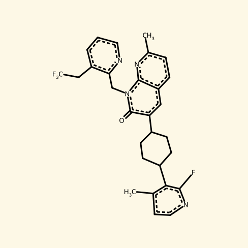 Cc1ccc2cc(C3CCC(c4c(C)ccnc4F)CC3)c(=O)n(Cc3ncccc3CC(F)(F)F)c2n1